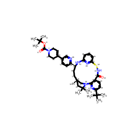 CC(C)(C)OC(=O)N1CC=C(c2ccc([C@@H]3CC[C@@H]4CN(c5nc(C(C)(C)C)ccc5C(=O)NSc5cccc(n5)N3)C(C)(C)C4)nc2)CC1